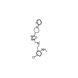 CN(CCc1cc(Cl)ccc1N)Cc1nnc(C2CCN(c3ccccn3)CC2)o1